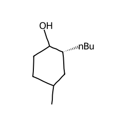 CCCC[C@@H]1CC(C)CCC1O